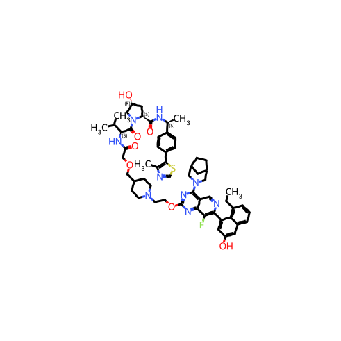 CCc1cccc2cc(O)cc(-c3ncc4c(N5CC6CCC(C6)C5)nc(OCCN5CCC(COCC(=O)N[C@H](C(=O)N6C[C@H](O)C[C@H]6C(=O)N[C@@H](C)c6ccc(-c7scnc7C)cc6)C(C)C)CC5)nc4c3F)c12